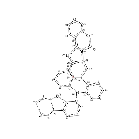 C1=CC2Oc3c(cccc3N(c3ccccc3)c3ccccc3-c3ccc4oc5c6ccccc6ccc5c4c3)C2C=C1